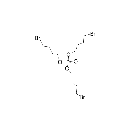 O=P(OCCCCBr)(OCCCCBr)OCCCCBr